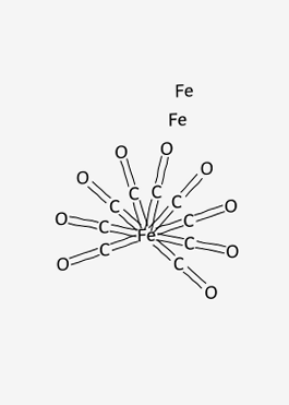 O=[C]=[Fe](=[C]=O)(=[C]=O)(=[C]=O)(=[C]=O)(=[C]=O)(=[C]=O)(=[C]=O)=[C]=O.[Fe].[Fe]